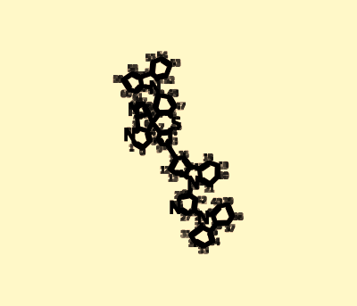 c1cnc2c(c1)C1(c3ccc(-c4ccc5c(c4)c4ccccc4n5-c4cncc(-n5c6ccccc6c6ccccc65)c4)cc3Sc3ccc(-n4c5ccccc5c5ccccc54)cc31)c1cccnc1-2